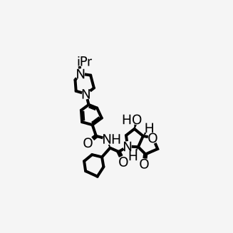 CC(C)N1CCN(c2ccc(C(=O)N[C@H](C(=O)N3C[C@@H](O)[C@H]4OCC(=O)[C@H]43)C3CCCCC3)cc2)CC1